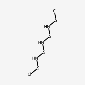 ClSNSNSNSCl